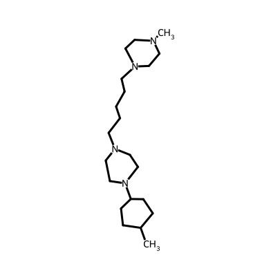 CC1CCC(N2CCN(CCCCCN3CCN(C)CC3)CC2)CC1